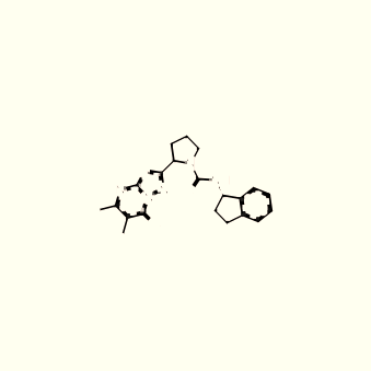 Cc1nc2sc(C3CCCN3C(=O)N[C@@H]3CCc4ccccc43)nn2c(=O)c1C